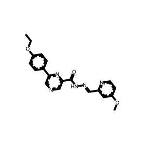 CCOc1ccc(-c2cncc(C(=O)NN=Cc3cc(OC)ccn3)n2)cc1